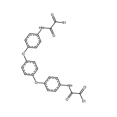 CCC(=O)C(=O)Nc1ccc(Oc2ccc(Oc3ccc(NC(=O)C(=O)CC)cc3)cc2)cc1